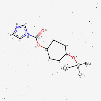 CC(C)(C)[Si](C)(C)OC1CCC(OC(=O)n2ccnc2)CC1